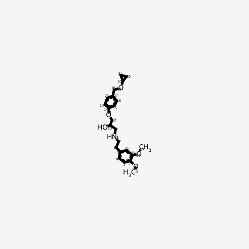 COc1ccc(CCNCC(O)COc2ccc(COC3CC3)cc2)cc1OC